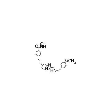 COc1ccc(C2CC2NCc2cn3c(n2)CN(CCCc2ccc(C(=O)NO)cc2)CC3)cc1